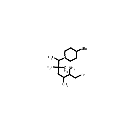 CC(C)CC(N)C(C)CC(C)(C)C(C)N1CCC(C(C)(C)C)CC1